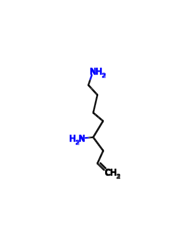 C=CCC(N)CCCCN